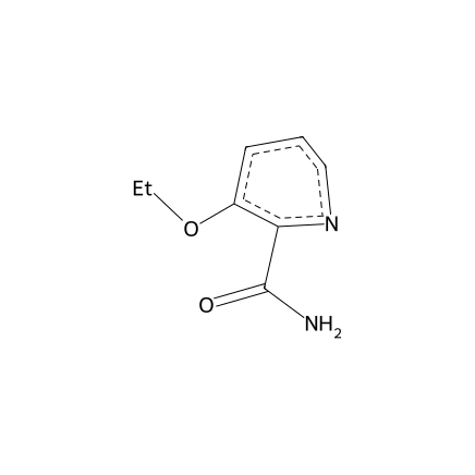 CCOc1cccnc1C(N)=O